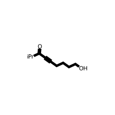 CC(C)C(=O)C#CCCCCO